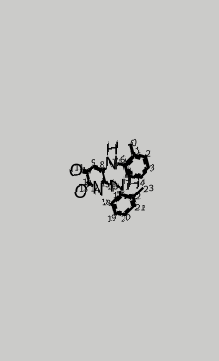 Cc1ccccc1NC1=CC(=O)C(=O)N=C1Nc1ccccc1C